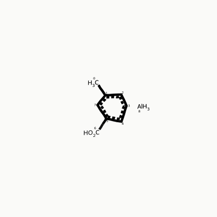 Cc1cccc(C(=O)O)c1.[AlH3]